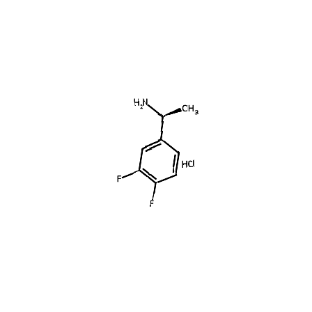 C[C@H](N)c1ccc(F)c(F)c1.Cl